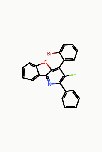 Fc1c(-c2ccccc2)nc2c(oc3ccccc32)c1-c1ccccc1Br